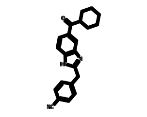 N#Cc1ccc(Cc2nc3cc(C(=O)C4CCCCC4)ccc3[nH]2)cc1